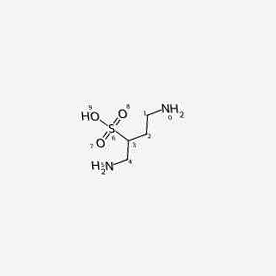 NCCC(CN)S(=O)(=O)O